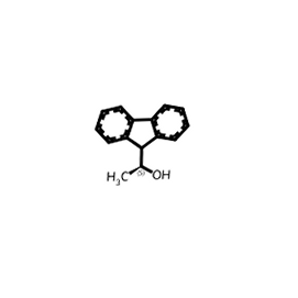 C[C@H](O)C1c2ccccc2-c2ccccc21